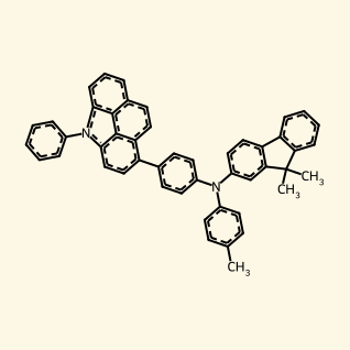 Cc1ccc(N(c2ccc(-c3ccc4c5c3ccc3cccc(c35)n4-c3ccccc3)cc2)c2ccc3c(c2)C(C)(C)c2ccccc2-3)cc1